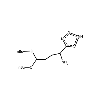 CCCCOC(CCC(N)c1c[nH]nn1)OCCCC